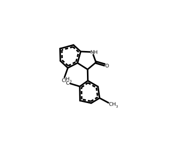 Cc1ccc(C)c(C2C(=O)Nc3cccc(Cl)c32)c1